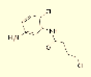 Nc1ccc(Cl)c(NC(=O)CCCCl)c1